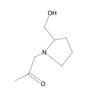 CC(=O)CN1CCCC1CO